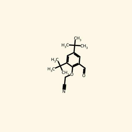 CC(C)(C)c1cc(C=O)c(OCC#N)c(C(C)(C)C)c1